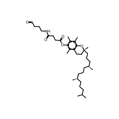 Cc1c(C)c2c(c(C)c1OC(=O)CCC(=O)NCCCC=O)CC[C@@](C)(CCC[C@@H](C)CCC[C@H](C)CCCC(C)C)O2